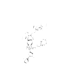 CC(C)(C)OC(=O)CCc1nc2cc3c(cc2[nH]c1=O)nc(C1=CCC(c2ccco2)S1)n3CCCN1CCCCC1